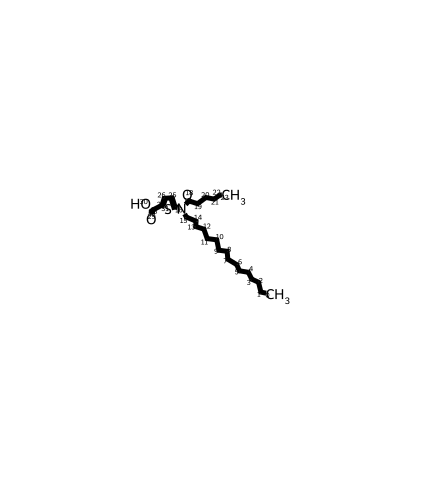 CCCCCCCCCCCCCCCCN(C(=O)CCCCC)c1ccc(C(=O)O)s1